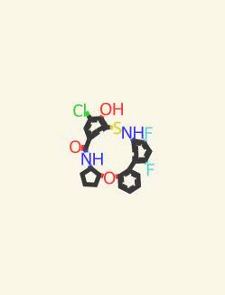 O=C1NC2CCCC2Oc2ccccc2-c2cc(c(F)cc2F)NSc2cc1cc(Cl)c2O